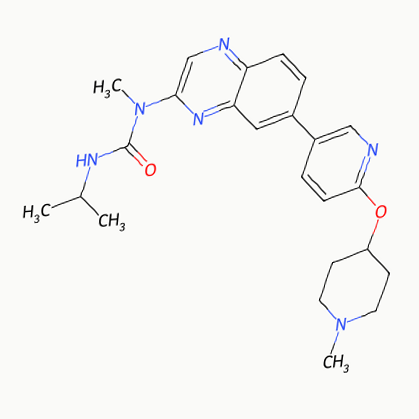 CC(C)NC(=O)N(C)c1cnc2ccc(-c3ccc(OC4CCN(C)CC4)nc3)cc2n1